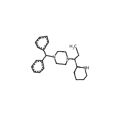 CCC(C1CCCCN1)N1CCN(C(c2ccccc2)c2ccccc2)CC1